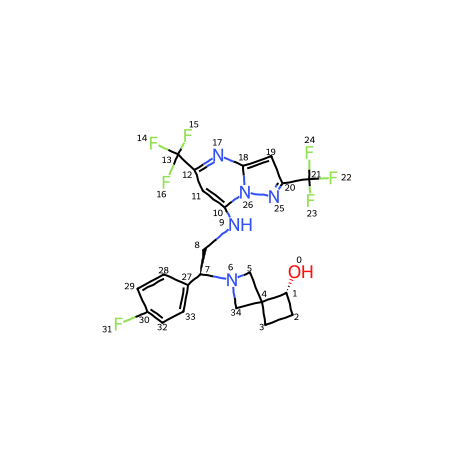 O[C@@H]1CCC12CN([C@H](CNc1cc(C(F)(F)F)nc3cc(C(F)(F)F)nn13)c1ccc(F)cc1)C2